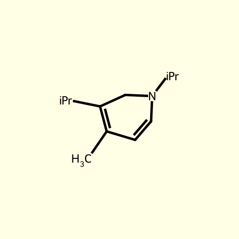 CC1=C(C(C)C)CN(C(C)C)C=C1